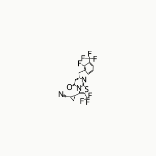 N#CC1CC1c1c(C(F)(F)F)sc2nc(Cc3cccc(C(F)(F)F)c3F)cc(=O)n12